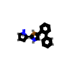 c1ccc(-c2ccccc2-c2cnc([C@@H]3CCCN3)s2)cc1